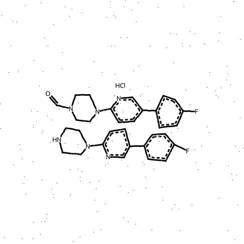 Cl.Fc1ccc(-c2ccc(N3CCNCC3)nc2)cc1.O=CN1CCN(c2ccc(-c3ccc(F)cc3)cn2)CC1